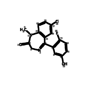 CN1C(=O)CN=C(c2cc(O)ccc2F)c2cc(Cl)ccc21